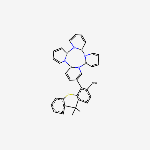 CC(C)(C)c1ccc2c(c1C1=CN3B4C=CC=CN4B4C=CC=CN4B4C=CC=CN4B3C=C1)Sc1ccccc1C2(C)C